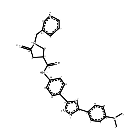 CN(C)c1ccc(-c2noc(-c3ccc(NC(=O)C4CC(=O)N(Cc5cccnc5)C4)cc3)n2)cc1